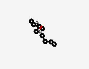 c1ccc(N(c2ccc(-c3cccc(-c4ccc5ccccc5c4)c3)cc2)c2ccccc2-c2cccc3oc4c5ccccc5ccc4c23)cc1